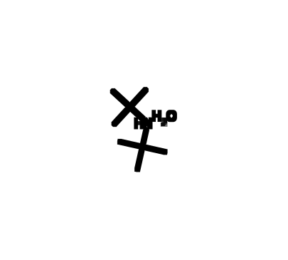 CC(C)(C)NC(C)(C)C.O